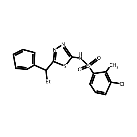 CCC(c1ccccc1)c1nnc(NS(=O)(=O)c2cccc(Cl)c2C)s1